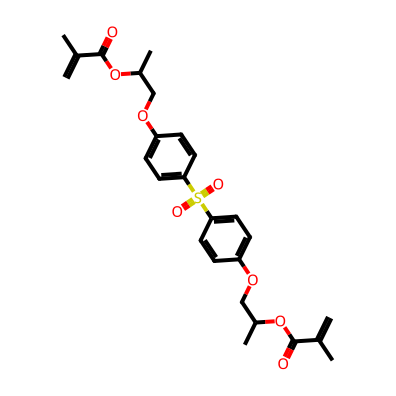 C=C(C)C(=O)OC(C)COc1ccc(S(=O)(=O)c2ccc(OCC(C)OC(=O)C(=C)C)cc2)cc1